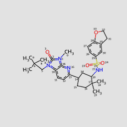 Cn1c(=O)n(CC(C)(C)C)c2ccc(C3CCC(C)(C)C(NS(=O)(=O)c4ccc5c(c4)CCO5)C3)nc21